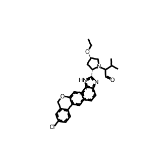 CCO[C@H]1C[C@@H](c2nc3ccc4cc5c(cc4c3[nH]2)OCc2cc(Cl)ccc2-5)N([C](C=O)C(C)C)C1